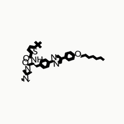 CCCCCCCOc1ccc(-c2cnc(-c3ccc(C[C@H](NC(=O)c4ccc(C(C)(C)C)s4)C(=O)N4CC(N(C)C)C4)cc3)nc2)cc1